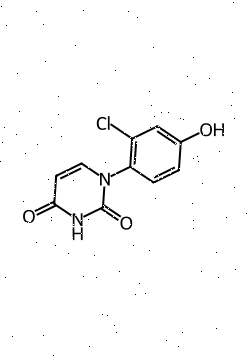 O=c1ccn(-c2ccc(O)cc2Cl)c(=O)[nH]1